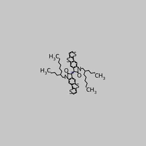 CCCCCCC(CCCC)CN1C(=O)/C(=C2/C(=O)N(CC(CCCC)CCCCCC)c3cc4c(cc32)sc2ccsc24)c2cc3sc4ccsc4c3cc21